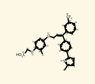 Cc1ccc(-c2ccc(/C(=C\COc3ccc(OCC(=O)O)c(C)c3)c3cccc(C(F)(F)F)c3)cc2)s1